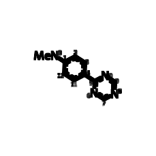 CNc1ccc(-c2ncncn2)cc1